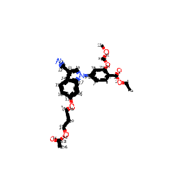 CCOC(=O)c1ccc(-n2cc(C#N)c3ccc(OCCCOC(C)=O)cc32)cc1OCOC